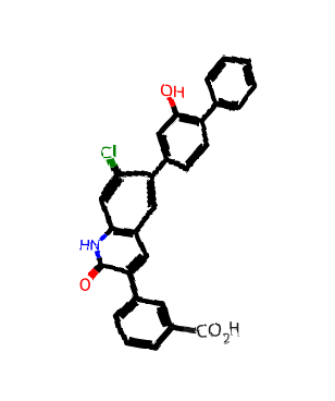 O=C(O)c1cccc(-c2cc3cc(-c4ccc(-c5ccccc5)c(O)c4)c(Cl)cc3[nH]c2=O)c1